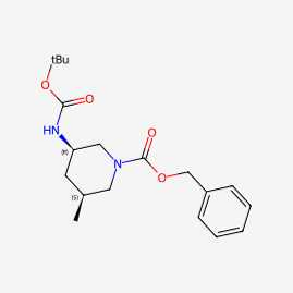 C[C@H]1C[C@@H](NC(=O)OC(C)(C)C)CN(C(=O)OCc2ccccc2)C1